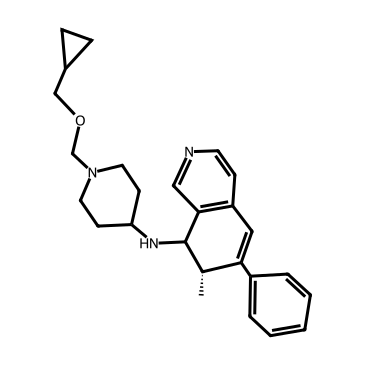 C[C@H]1C(c2ccccc2)=Cc2ccncc2C1NC1CCN(COCC2CC2)CC1